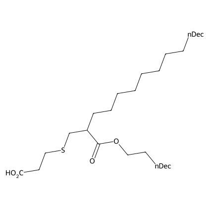 CCCCCCCCCCCCCCCCCCC(CSCCC(=O)O)C(=O)OCCCCCCCCCCCC